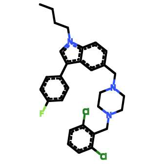 CCCCn1cc(-c2ccc(F)cc2)c2cc(CN3CCN(Cc4c(Cl)cccc4Cl)CC3)ccc21